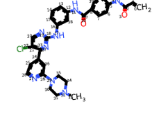 C=CC(=O)Nc1ccc(C(=O)Nc2cccc(Nc3ncc(Cl)c(-c4ccnc(N5CCN(C)CC5)c4)n3)c2)cc1